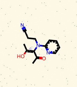 CC(=O)/C(=C(/C)O)N(CCC#N)c1ccccn1